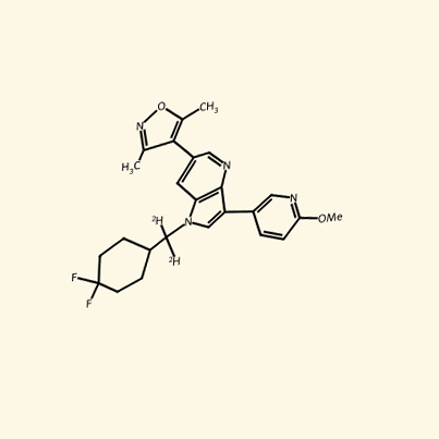 [2H]C([2H])(C1CCC(F)(F)CC1)n1cc(-c2ccc(OC)nc2)c2ncc(-c3c(C)noc3C)cc21